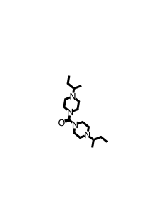 CCC(C)N1CCN(C(=O)N2CCN(C(C)CC)CC2)CC1